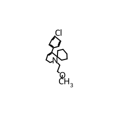 COCCN1CCC=C(c2ccc(Cl)cc2)C12CCCCC2